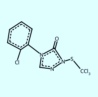 O=c1n(-c2ccccc2Cl)cnn1SC(Cl)(Cl)Cl